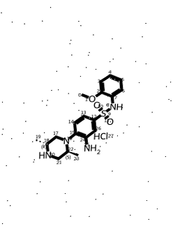 COc1ccccc1NS(=O)(=O)c1ccc(N2C[C@@H](C)NC[C@@H]2C)c(N)c1.Cl